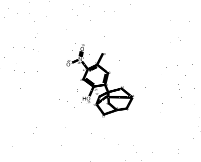 Cc1cc(C23CC4CC(CC(C4)C2)C3)c(O)cc1[N+](=O)[O-]